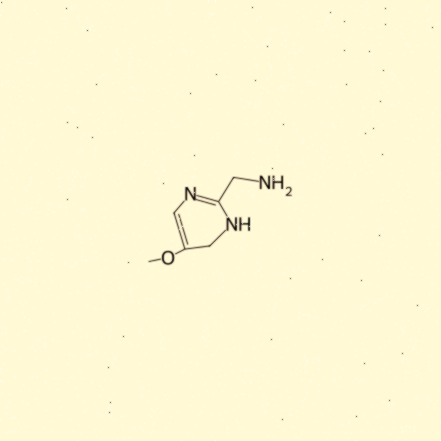 COC1=CN=C(CN)NC1